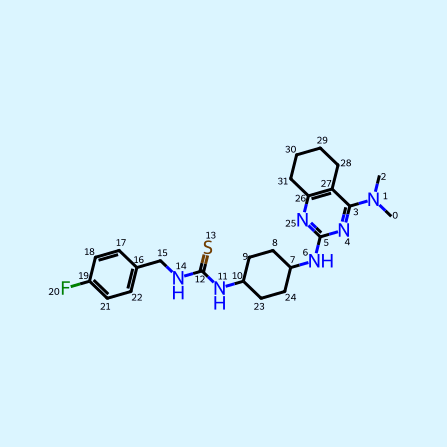 CN(C)c1nc(NC2CCC(NC(=S)NCc3ccc(F)cc3)CC2)nc2c1CCCC2